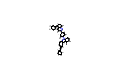 c1ccc(-c2ccc3c(c2)c2ccccc2n3-c2ccc(-c3cc4c5c(cccc5n3)-c3ccccc3-4)cc2)cc1